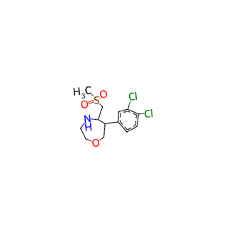 CS(=O)(=O)CC1NCCOCC1c1ccc(Cl)c(Cl)c1